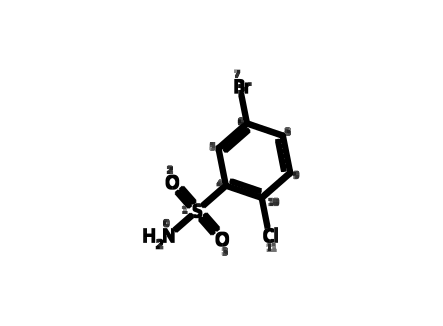 NS(=O)(=O)c1cc(Br)ccc1Cl